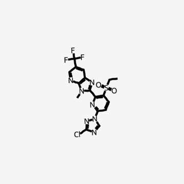 CCS(=O)(=O)c1ccc(-n2cnc(Cl)n2)nc1-c1nc2cc(C(F)(F)F)cnc2n1C